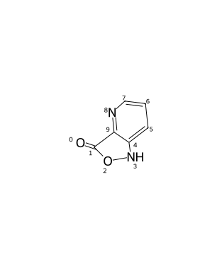 O=c1o[nH]c2cccnc12